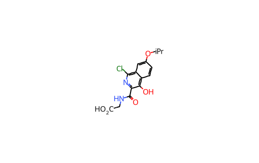 CC(C)Oc1ccc2c(O)c(C(=O)NCC(=O)O)nc(Cl)c2c1